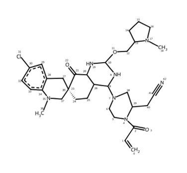 C=CC(=O)N1CCN(C2NC(OCC3CCCN3C)NC3C(=O)[C@]4(CCC32)Cc2cc(Cl)ccc2N(C)C4)CC1CC#N